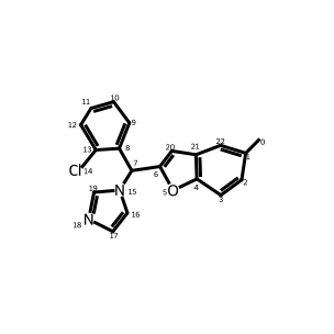 Cc1ccc2oc(C(c3ccccc3Cl)n3ccnc3)cc2c1